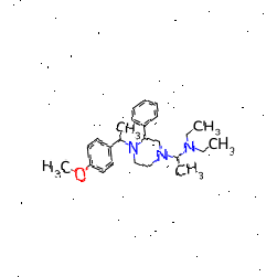 CCN(CC)C(C)N1CCN(C(C)c2ccc(OC)cc2)C(c2ccccc2)C1